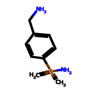 C=S(=C)(N)c1ccc(CN)cc1